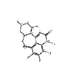 Cc1c(F)c2c3c(nc(=O)n(I)c3c1Cl)N1C(C)CN(C)CC1CN2